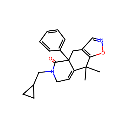 CC1(C)C2=CCN(CC3CC3)C(=O)C2(c2ccccc2)Cc2cnoc21